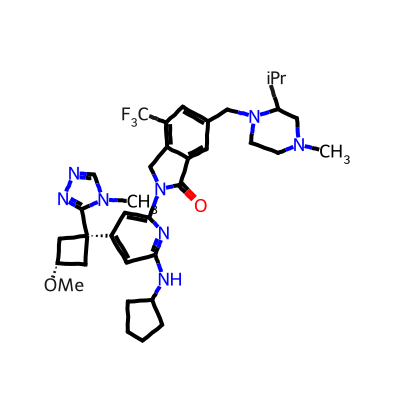 CO[C@H]1C[C@](c2cc(NC3CCCC3)nc(N3Cc4c(cc(CN5CCN(C)CC5C(C)C)cc4C(F)(F)F)C3=O)c2)(c2nncn2C)C1